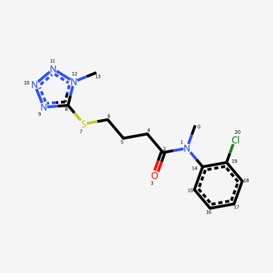 CN(C(=O)CCCSc1nnnn1C)c1ccccc1Cl